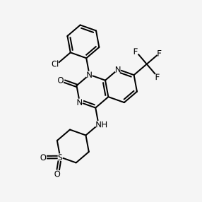 O=c1nc(NC2CCS(=O)(=O)CC2)c2ccc(C(F)(F)F)nc2n1-c1ccccc1Cl